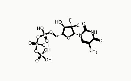 Cc1cn([C@@H]2O[C@H](COP(=O)(O)OP(=O)(O)OP(=O)(O)O)[C@@H](O)[C@@]2(F)Cl)c(=O)[nH]c1=O